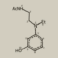 CCN(CCNC(C)=O)c1cccc(O)c1